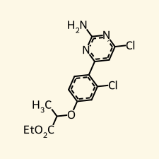 CCOC(=O)C(C)Oc1ccc(-c2cc(Cl)nc(N)n2)c(Cl)c1